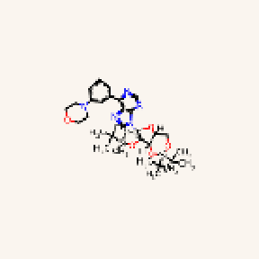 CC(C)(C)[Si](C)(C)O[C@@H]1[C@H]2O[Si](C(C)(C)C)(C(C)(C)C)OC[C@H]2O[C@H]1n1cnc2c(-c3cccc(N4CCOCC4)c3)ncnc21